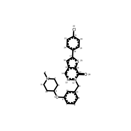 CN1CCC(Oc2cccc(Cn3ncc4cc(-c5ccc(Cl)cc5)sc4c3=O)c2)CC1